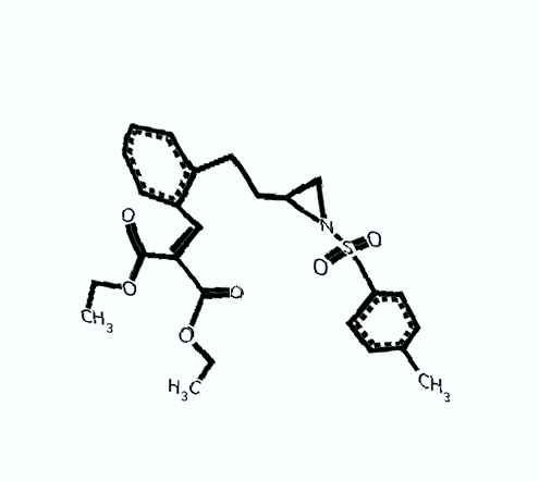 CCOC(=O)C(=Cc1ccccc1CCC1CN1S(=O)(=O)c1ccc(C)cc1)C(=O)OCC